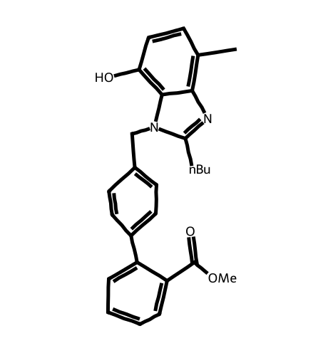 CCCCc1nc2c(C)ccc(O)c2n1Cc1ccc(-c2ccccc2C(=O)OC)cc1